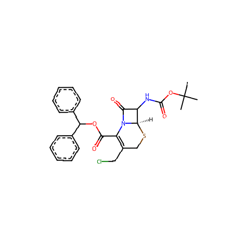 CC(C)(C)OC(=O)NC1C(=O)N2C(C(=O)OC(c3ccccc3)c3ccccc3)=C(CCl)CS[C@H]12